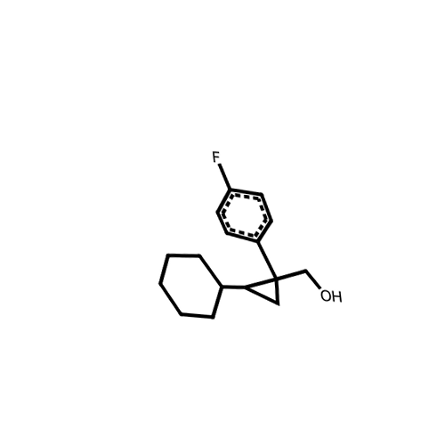 OCC1(c2ccc(F)cc2)CC1C1CCCCC1